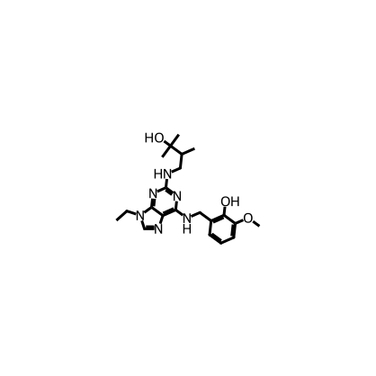 CCn1cnc2c(NCc3cccc(OC)c3O)nc(NCC(C)C(C)(C)O)nc21